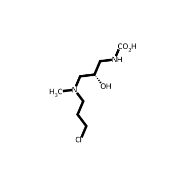 CN(CCCCl)C[C@@H](O)CNC(=O)O